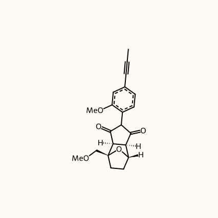 CC#Cc1ccc(C2C(=O)[C@H]3[C@@H]4CC[C@@](COC)(O4)[C@H]3C2=O)c(OC)c1